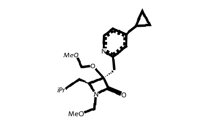 COCO[C@@]1(Cc2cc(C3CC3)ccn2)C(=O)N(COC)[C@H]1CC(C)C